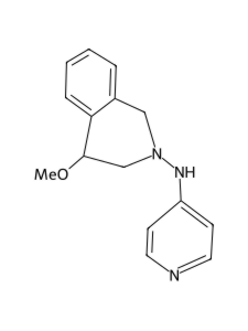 COC1CN(Nc2ccncc2)Cc2ccccc21